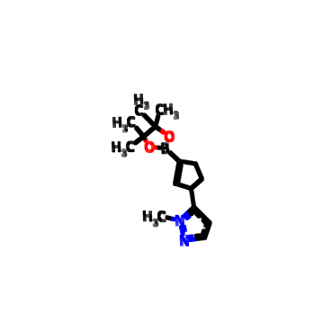 Cn1nccc1C1C=C(B2OC(C)(C)C(C)(C)O2)CC1